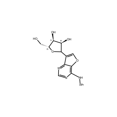 CCCNc1ncnc2c(C3O[C@H](CO)[C@@H](O)[C@H]3O)coc12